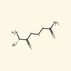 CC(C)[C@H](N)C(=O)CCCC(N)=O